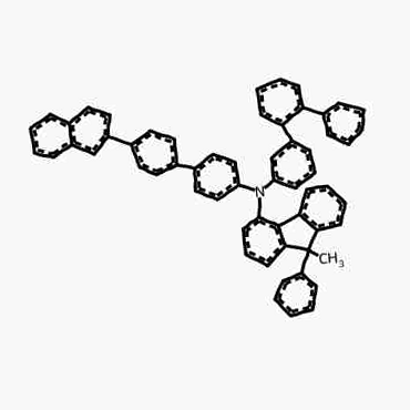 CC1(c2ccccc2)c2ccccc2-c2c(N(c3ccc(-c4ccc(-c5ccc6ccccc6c5)cc4)cc3)c3cccc(-c4ccccc4-c4ccccc4)c3)cccc21